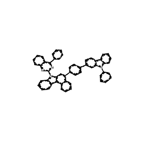 c1ccc(-c2nc(-n3c4ccccc4c4c5ccccc5c(-c5ccc(-c6ccc7c8ccccc8n(-c8ccccc8)c7c6)cc5)cc43)nc3ccccc23)cc1